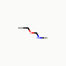 CCCNCOCNC